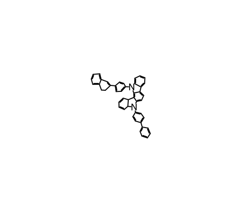 C1=CC2c3c(ccc4c5ccccc5n(-c5ccc(C6=Cc7ccccc7CC6)cc5)c34)N(c3ccc(-c4ccccc4)cc3)C2C=C1